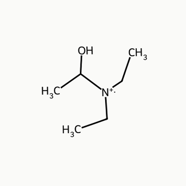 CC[N+](CC)C(C)O